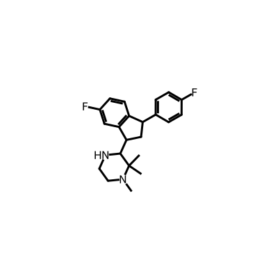 CN1CCNC(C2CC(c3ccc(F)cc3)c3ccc(F)cc32)C1(C)C